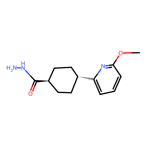 COc1cccc([C@H]2CC[C@H](C(=O)NN)CC2)n1